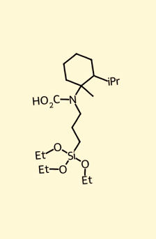 CCO[Si](CCCN(C(=O)O)C1(C)CCCCC1C(C)C)(OCC)OCC